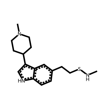 CNSCCc1ccc2[nH]cc(C3CCN(C)CC3)c2c1